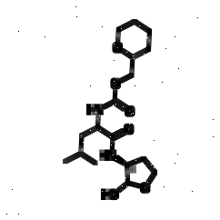 CC(C)CC(NC(=O)OCC1CCCCO1)C(=O)N[C@H]1CCOC1O